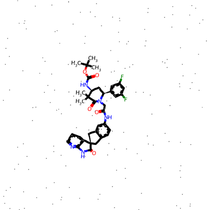 CC(C)(C)OC(=O)N[C@H]1C[C@@H](c2cc(F)cc(F)c2)N(CC(=O)Nc2ccc3c(c2)C[C@@]2(C3)C(=O)Nc3ncccc32)C(=O)C1(C)C